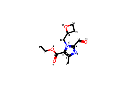 CCOC(=O)c1c(C)nc(C=O)n1CC1CCO1